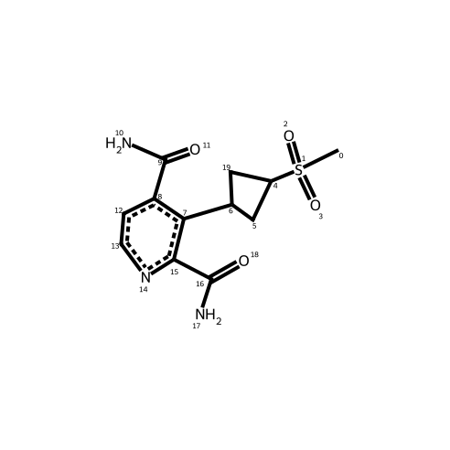 CS(=O)(=O)C1CC(c2c(C(N)=O)ccnc2C(N)=O)C1